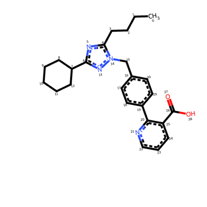 CCCCc1nc(C2CCCCC2)nn1Cc1ccc(-c2ncccc2C(=O)O)cc1